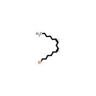 CCCCC/C=C\C/C=C\CCCCCBr